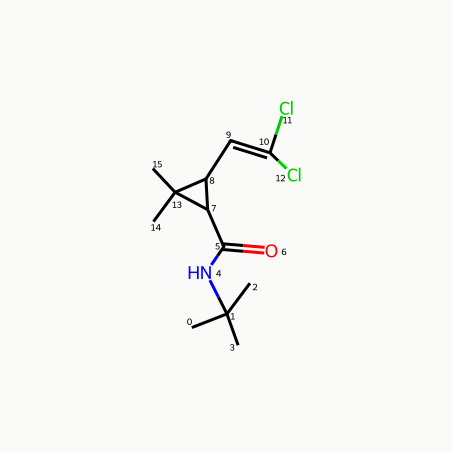 CC(C)(C)NC(=O)C1C(C=C(Cl)Cl)C1(C)C